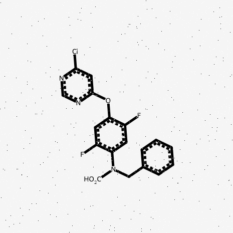 O=C(O)N(Cc1ccccc1)c1cc(F)c(Oc2cc(Cl)ncn2)cc1F